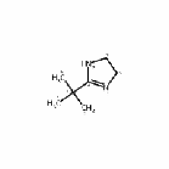 CC(C)(C)C1=NCCN1